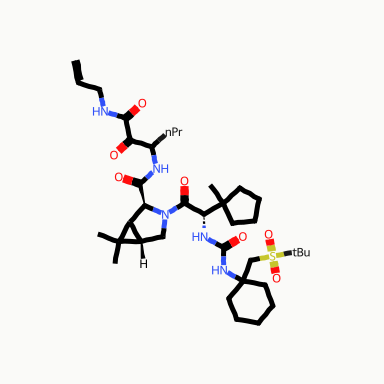 C=CCNC(=O)C(=O)C(CCC)NC(=O)[C@@H]1C2[C@H](CN1C(=O)[C@@H](NC(=O)NC1(CS(=O)(=O)C(C)(C)C)CCCCC1)C1(C)CCCC1)C2(C)C